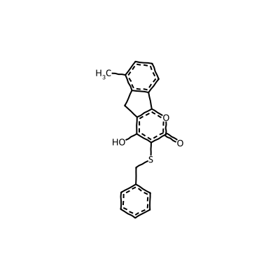 Cc1cccc2c1Cc1c-2oc(=O)c(SCc2ccccc2)c1O